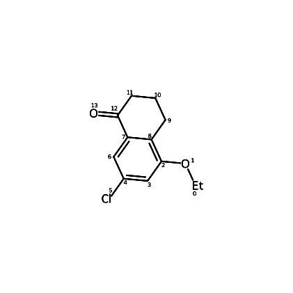 CCOc1cc(Cl)cc2c1CCCC2=O